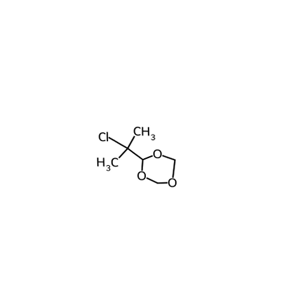 CC(C)(Cl)C1OCOCO1